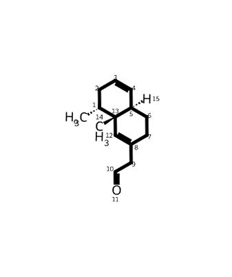 C[C@@H]1CC=C[C@H]2CCC(CC=O)=C[C@]12C